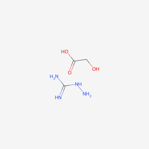 N=C(N)NN.O=C(O)CO